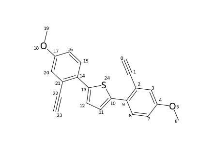 C#Cc1cc(OC)ccc1-c1ccc(-c2ccc(OC)cc2C#C)s1